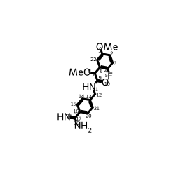 COc1ccc(F)c(C(OC)C(=O)NCc2ccc(C(=N)N)cc2)c1